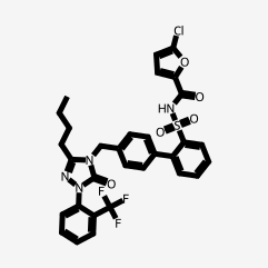 CCCCc1nn(-c2ccccc2C(F)(F)F)c(=O)n1Cc1ccc(-c2ccccc2S(=O)(=O)NC(=O)c2ccc(Cl)o2)cc1